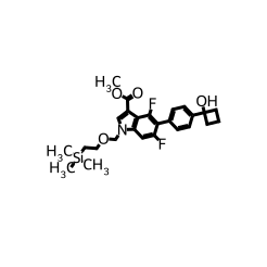 COC(=O)c1cn(COCC[Si](C)(C)C)c2cc(F)c(-c3ccc(C4(O)CCC4)cc3)c(F)c12